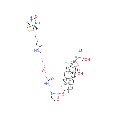 CCO[C@@H]([C@H]1C[C@@H](C)[C@H]2[C@H](O1)[C@H](O)[C@@]1(C)[C@@H]3CC[C@H]4C(C)(C)C(O[C@H]5CN(CCNC(=O)CCOCCOCCNC(=O)CCCCC6SC[C@@H]7NC(=O)N[C@H]67)CCO5)CC[C@@]45CC35CC[C@]21C)C(C)(C)O